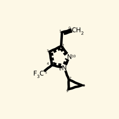 C=Cc1cc(C(F)(F)F)n(C2CC2)n1